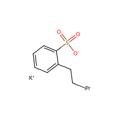 CC(C)CCc1ccccc1S(=O)(=O)[O-].[K+]